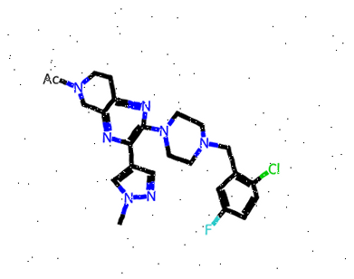 CC(=O)N1CCc2nc(N3CCN(Cc4cc(F)ccc4Cl)CC3)c(-c3cnn(C)c3)nc2C1